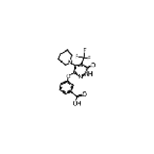 O=C(O)c1cccc(Oc2n[nH]c(=O)c(C(F)(F)F)c2N2CCCCC2)c1